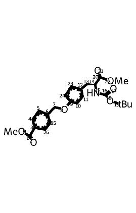 COC(=O)c1ccc(COc2ccc(C[C@H](NC(=O)OC(C)(C)C)C(=O)OC)cc2)cc1